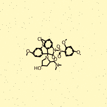 COc1ccc(C2(N3CC(O)CC3C(=O)N(C)C)C(=O)N(S(=O)(=O)c3ccc(OC)cc3OC)c3ccc(Cl)cc32)c(OC)c1